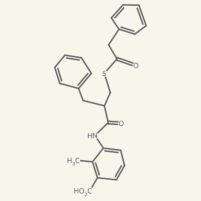 Cc1c(NC(=O)C(CSC(=O)Cc2ccccc2)Cc2ccccc2)cccc1C(=O)O